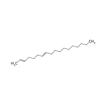 [CH2]C=CCCCC=CCCCCCCCCCC